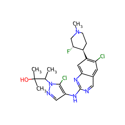 CC(n1ncc(Nc2ncc3cc(Cl)c([C@@H]4CCN(C)C[C@H]4F)cc3n2)c1Cl)C(C)(C)O